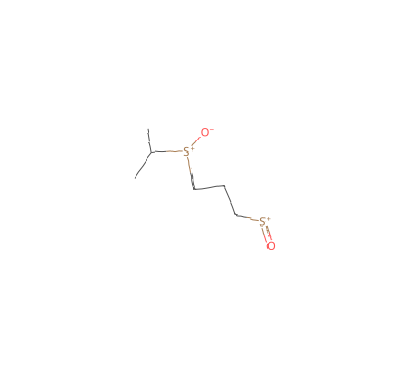 CC(C)[S+]([O-])CCC[S+]=O